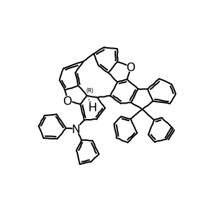 c1ccc(C2(c3ccccc3)c3ccccc3-c3c2cc2c4c3oc3ccc(cc34)-c3ccc4c(c3)[C@@H]3C(=C(N(c5ccccc5)c5ccccc5)C=CC23)O4)cc#1